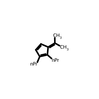 CCCC1=C(CCC)C(=C(C)C)C=C1